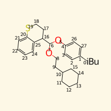 CCC(C)c1ccc(OC(OCCC2CCCCC2)C2CCSc3ccccc32)cc1